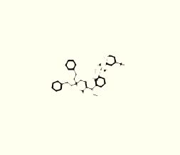 CC[C@@H](C1=C(O)CC(CCc2ccccc2)(CCc2ccccc2)OC1=O)c1cccc(NS(=O)(=O)c2cc(C(F)(F)F)ccn2)c1